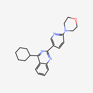 c1ccc2c(C3CCCCC3)nc(-c3ccc(N4CCOCC4)nc3)nc2c1